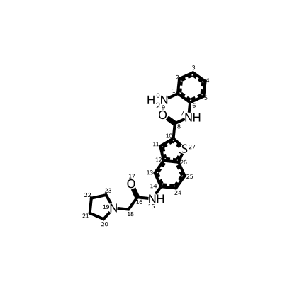 Nc1ccccc1NC(=O)c1cc2cc(NC(=O)CN3CCCC3)ccc2s1